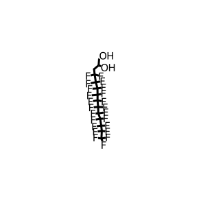 OCC(O)CC(F)(F)C(F)(F)C(F)(F)C(F)(F)C(F)(F)C(F)(F)C(F)(F)C(F)(F)C(F)(F)C(F)(F)C(F)(F)F